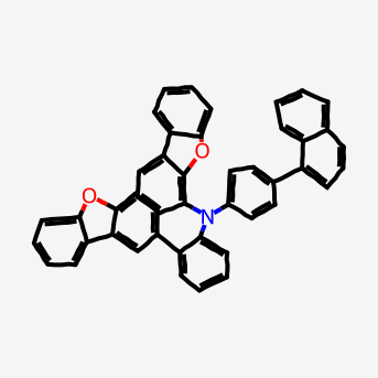 c1ccc(N(c2ccc(-c3cccc4ccccc34)cc2)c2cccc3c2oc2ccccc23)c(-c2ccc3oc4ccccc4c3c2)c1